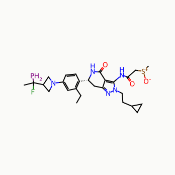 CCc1cc(N2CC(C(C)(F)P)C2)ccc1[C@H]1Cc2nn(CCC3CC3)c(NC(=O)C[S+](C)[O-])c2C(=O)N1